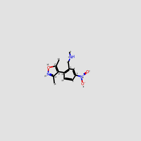 CNCc1cc([N+](=O)[O-])ccc1-c1c(C)noc1C